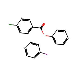 Ic1ccccc1.O=C(Oc1ccccc1)c1ccc(Cl)cc1